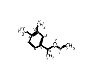 C=NOC(C)c1ccc(C)c(C)c1